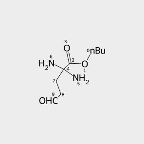 CCCCOC(=O)C(N)(N)CCC=O